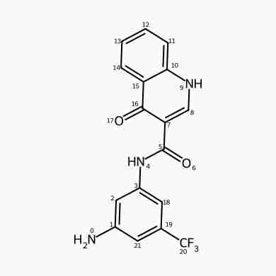 Nc1cc(NC(=O)c2c[nH]c3ccccc3c2=O)cc(C(F)(F)F)c1